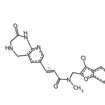 CN(Cc1oc2ccccc2c1Cl)C(=O)/C=C/c1cnc2c(c1)CNCC(=O)N2